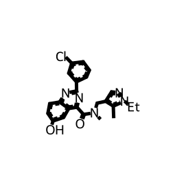 CCn1ncc(CN(C)C(=O)c2nc(-c3cccc(Cl)c3)nc3ccc(O)cc23)c1C